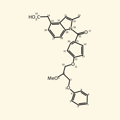 COC(COc1ccccc1)COc1ccc(C(=O)n2c(C)cc3c(CC(=O)O)cccc32)cc1